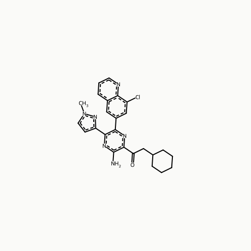 Cn1ccc(-c2nc(N)c(C(=O)CC3CCCCC3)nc2-c2cc(Cl)c3ncccc3c2)n1